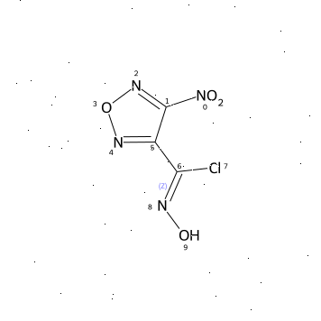 O=[N+]([O-])c1nonc1/C(Cl)=N/O